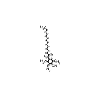 CCCCCCCCCCCCCC(=O)Nc1cc(C)c(O)c(C)c1C